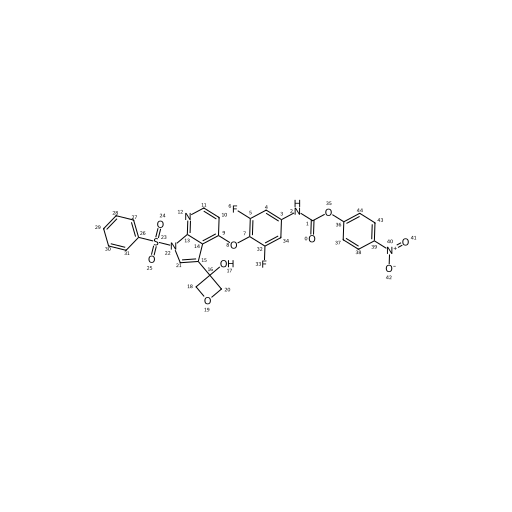 O=C(Nc1cc(F)c(Oc2ccnc3c2c(C2(O)COC2)cn3S(=O)(=O)c2ccccc2)c(F)c1)Oc1ccc([N+](=O)[O-])cc1